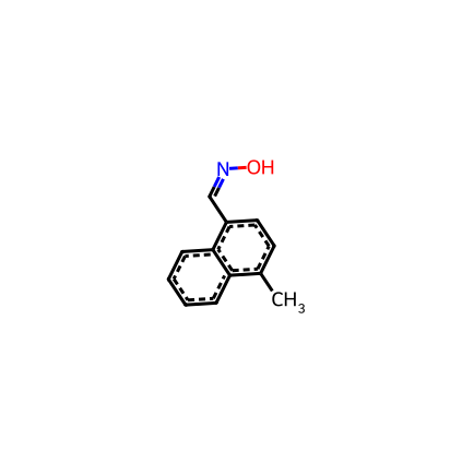 Cc1ccc(/C=N\O)c2ccccc12